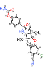 CC1(C)[C@H](NC(=O)c2ccc(OC(N)=O)cc2)C(C)(C)[C@H]1Oc1ccc(C#N)c(Cl)c1